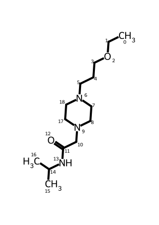 CCOCCCN1CCN(CC(=O)NC(C)C)CC1